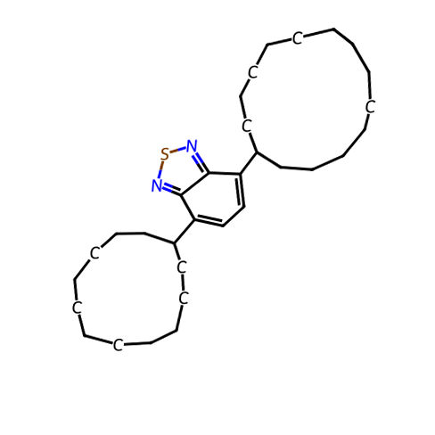 c1cc(C2CCCCCCCCCCC2)c2nsnc2c1C1CCCCCCCCCCCCC1